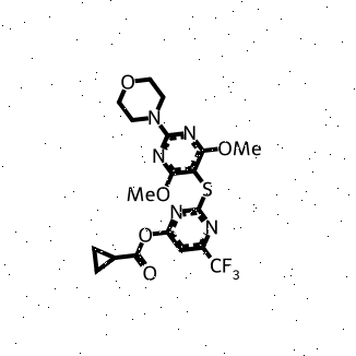 COc1nc(N2CCOCC2)nc(OC)c1Sc1nc(OC(=O)C2CC2)cc(C(F)(F)F)n1